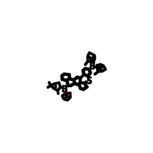 CC1C(B(c2cc3c4cccc5c4c(cc3c3ccccc23)-c2ccc(B(C3CC4CC(C3C)C4(C)C)C3CC4CC(C3C)C4(C)C)cc2S5)C2CC3CC(C2)C3(C)C)CC2CC1C2(C)C